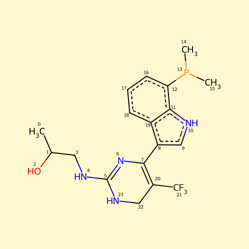 CC(O)CNC1=NC(c2c[nH]c3c(P(C)C)cccc23)=C(C(F)(F)F)CN1